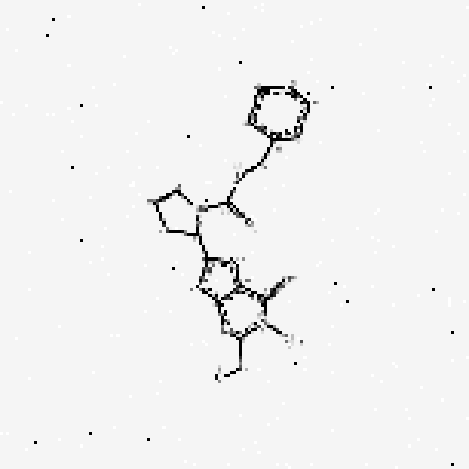 Cn1c(CCl)nc2sc(C3CCCN3C(=O)OCc3ccccc3)nc2c1=O